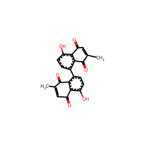 CC1=CC(=O)c2c(O)ccc(-c3ccc(O)c4c3C(=O)C(C)=CC4=O)c2C1=O